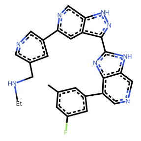 CCNCc1cncc(-c2cc3c(-c4nc5c(-c6cc(C)cc(F)c6)cncc5[nH]4)n[nH]c3cn2)c1